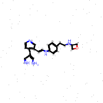 N=C/C(=C\N)c1ccncc1/C=C/Nc1ccc(CCNC2COC2)cc1